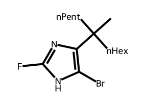 CCCCCCC(C)(CCCCC)c1nc(F)[nH]c1Br